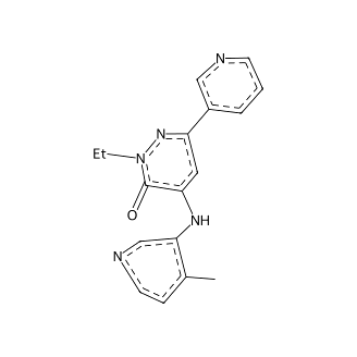 CCn1nc(-c2cccnc2)cc(Nc2cnccc2C)c1=O